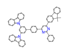 CC1(C)c2ccccc2-c2ccc(-c3cc(-c4ccc(-c5cc(-n6c7ccccc7c7ccccc76)cc(-n6c7ccccc7c7ccccc76)c5)cc4)nc(-c4ccccc4)n3)cc21